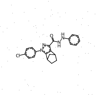 O=C(NNc1ccccc1)c1nn(-c2ccc(Cl)cc2)c2c1C1CCC2C1